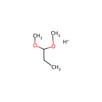 CCC(OC)OC.[H+]